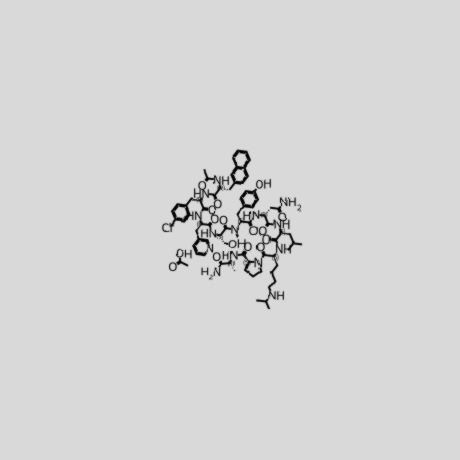 CC(=O)N[C@H](Cc1ccc2ccccc2c1)C(=O)N[C@H](Cc1ccc(Cl)cc1)C(=O)N[C@H](Cc1cccnc1)C(=O)N[C@@H](CO)C(=O)N(C)[C@@H](Cc1ccc(O)cc1)C(=O)N[C@H](CC(N)=O)C(=O)N[C@@H](CC(C)C)C(=O)N[C@@H](CCCCNC(C)C)C(=O)N1CCC[C@H]1C(=O)N[C@H](C)C(N)=O.CC(=O)O